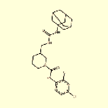 O=C(NCC1CCCN(C(=O)Nc2ccc(Cl)cc2Cl)C1)NC12CC3CC(CC(C3)C1)C2